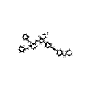 O=C1N(Cc2ncnc(OCc3ccccc3)c2OCc2ccccc2)CC(c2ccc(C#Cc3ccc(CN4CCOCC4)cc3)cc2)N1CC(F)F